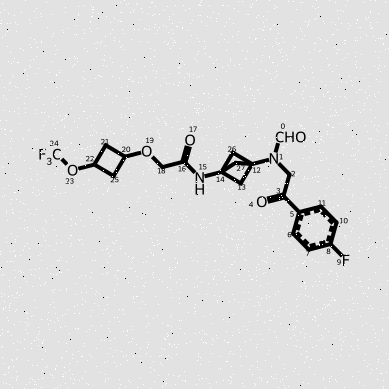 O=CN(CC(=O)c1ccc(F)cc1)C12CC(NC(=O)COC3CC(OC(F)(F)F)C3)(C1)C2